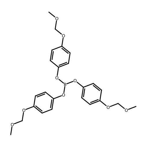 COCOc1ccc(OB(Oc2ccc(OCOC)cc2)Oc2ccc(OCOC)cc2)cc1